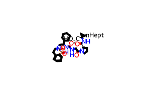 CCCCCCCC1C[C@]1(NC(=O)[C@@H]1CCCN1C(=O)CNC(=O)NC(CN1CCc2ccccc2S1(=O)=O)C1CCCCC1)C(=O)O